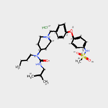 CCCCN(C(=O)NCC(C)C)C1CCN(Cc2ccc(Oc3ccc(NS(C)(=O)=O)cc3)cc2)CC1.Cl